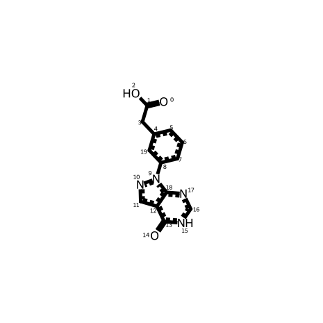 O=C(O)Cc1cccc(-n2ncc3c(=O)[nH]cnc32)c1